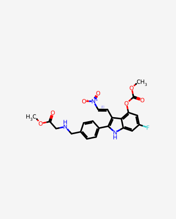 COC(=O)CNCc1ccc(-c2[nH]c3cc(F)cc(OC(=O)OC)c3c2/C=C/[N+](=O)[O-])cc1